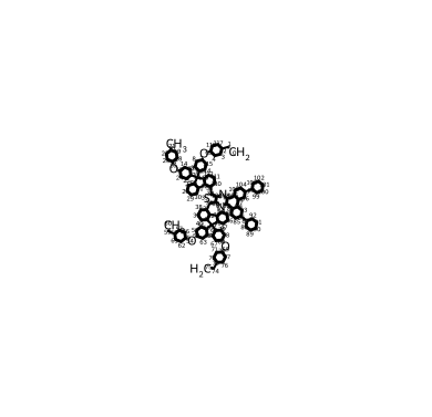 C=Cc1ccc(Oc2ccc(C3(c4ccc(Oc5ccc(C)cc5)cc4)c4ccccc4-c4c(-c5sc(-c6cccc7c6-c6ccccc6C7(c6ccc(Oc7ccc(C=C)cc7)cc6)c6ccc(Oc7ccc(C=C)cc7)cc6)c6nc7c8ccc(-c9ccccc9)cc8c8cc(-c9ccccc9)ccc8c7nc56)cccc43)cc2)cc1